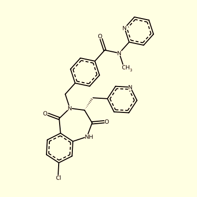 CN(C(=O)c1ccc(CN2C(=O)c3ccc(Cl)cc3NC(=O)[C@H]2Cc2cccnc2)cc1)c1ccccn1